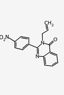 C=CCn1c(-c2ccc([N+](=O)[O-])cc2)nc2ccccc2c1=O